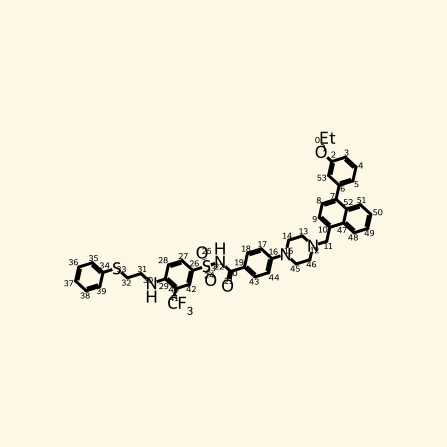 CCOc1cccc(-c2ccc(CN3CCN(c4ccc(C(=O)NS(=O)(=O)c5ccc(NCCSc6ccccc6)c(C(F)(F)F)c5)cc4)CC3)c3ccccc23)c1